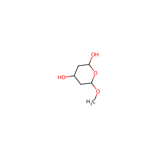 COC1CC(O)CC(O)O1